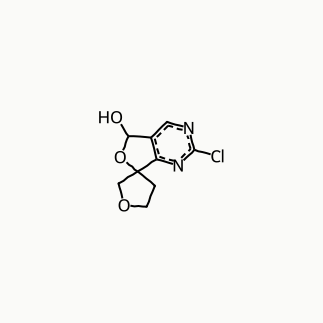 OC1OC2(CCOC2)c2nc(Cl)ncc21